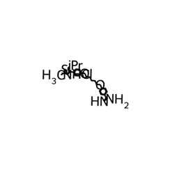 Cc1nc(-c2ccc(OCCCCCOc3ccc(C(=N)N)cc3)cc2)c(C(C)C)s1.Cl